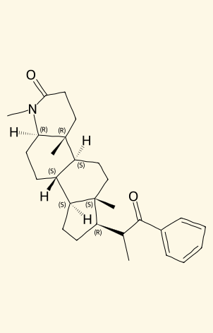 CC(C(=O)c1ccccc1)[C@H]1CC[C@H]2[C@@H]3CC[C@H]4N(C)C(=O)CC[C@]4(C)[C@H]3CC[C@]12C